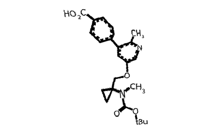 Cc1ncc(OCC2(N(C)C(=O)OC(C)(C)C)CC2)cc1-c1ccc(C(=O)O)cc1